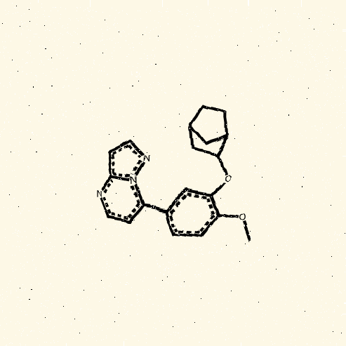 COc1ccc(-c2ccnc3ccnn23)cc1OC1CC2CCC1C2